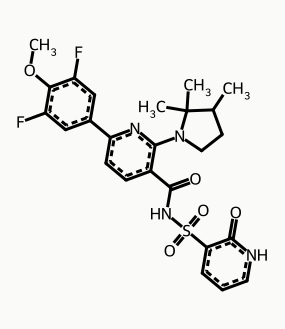 COc1c(F)cc(-c2ccc(C(=O)NS(=O)(=O)c3ccc[nH]c3=O)c(N3CCC(C)C3(C)C)n2)cc1F